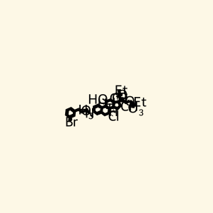 CCC(=O)OCC(=O)[C@@]1(OC(=O)CC)[C@H](C)C[C@H]2[C@H]3[C@H]([C@@H](O)C[C@@]21C)[C@@]1(C)C=C/C(=N\OCCc2cccc(Br)c2)C=C1C[C@H]3Cl